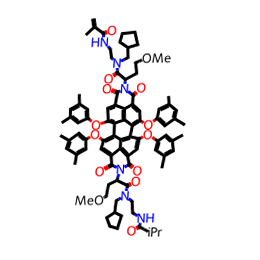 C=C(C)C(=O)NCCN(CC1CCCC1)C(=O)C(CCOC)N1C(=O)c2cc(Oc3cc(C)cc(C)c3)c3c4c(Oc5cc(C)cc(C)c5)cc5c6c(cc(Oc7cc(C)cc(C)c7)c(c7c(Oc8cc(C)cc(C)c8)cc(c2c37)C1=O)c64)C(=O)N(C(CCOC)C(=O)N(CCNC(=O)C(C)C)CC1CCCC1)C5=O